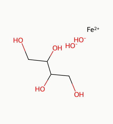 OCC(O)C(O)CO.[Fe+2].[OH-].[OH-]